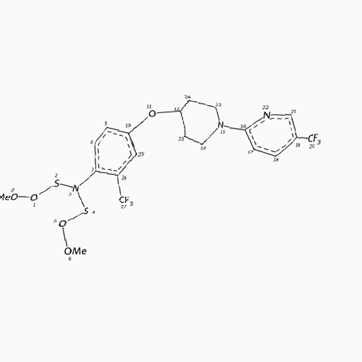 COOSN(SOOC)c1ccc(OC2CCN(c3ccc(C(F)(F)F)cn3)CC2)cc1C(F)(F)F